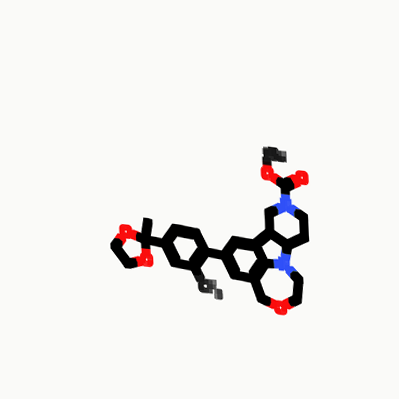 CC(C)(C)OC(=O)N1CCC2C(C1)c1cc(-c3ccc(C4(C)OCCO4)cc3C(F)(F)F)cc3c1N2CCOC3